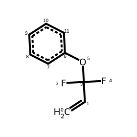 C=CC(F)(F)Oc1ccccc1